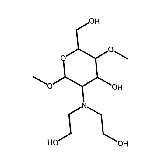 COC1OC(CO)C(OC)C(O)C1N(CCO)CCO